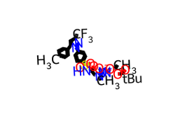 Cc1ccc(-c2cc(C(F)(F)F)nn2-c2ccc(S(=O)(=O)NC(=O)CN(C)[N+]([O-])=NOC(C)OC(=O)C(C)(C)C)cc2)cc1